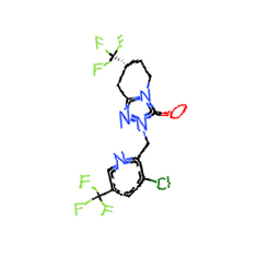 O=c1n(Cc2ncc(C(F)(F)F)cc2Cl)nc2n1CC[C@@H](C(F)(F)F)C2